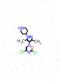 Cc1nn(C2CCNCC2)c(C)c1N1C=C(Cl)N=C(Cl)O1